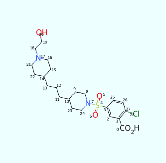 O=C(O)c1cc(S(=O)(=O)N2CCC(CCCC3CCN(CCO)CC3)CC2)ccc1Cl